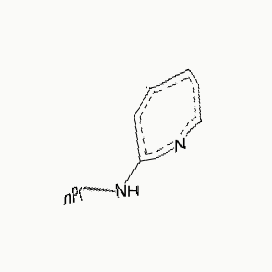 CCCNc1c[c]ccn1